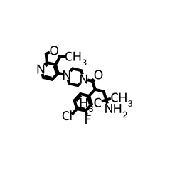 CC1OCc2nccc(N3CCN(C(=O)C(CC(C)(C)N)c4ccc(Cl)c(F)c4)CC3)c21